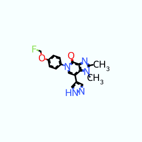 Cc1nc2c(=O)n(-c3ccc(OCF)cc3)cc(-c3cn[nH]c3)c2n1C